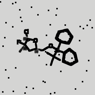 CC(C)(C)[Si](OC[C@@H]1C[C@@](C)(F)[C@H](Cl)O1)(c1ccccc1)c1ccccc1